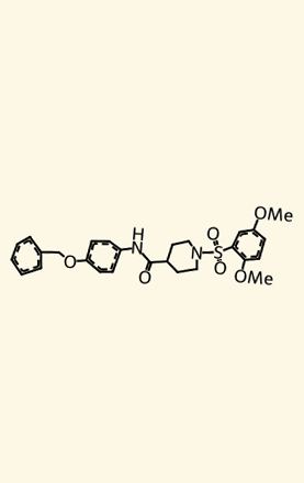 COc1ccc(OC)c(S(=O)(=O)N2CCC(C(=O)Nc3ccc(OCc4ccccc4)cc3)CC2)c1